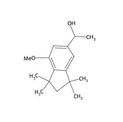 COc1cc(C(C)O)cc2c1C(C)(C)CC2(C)C